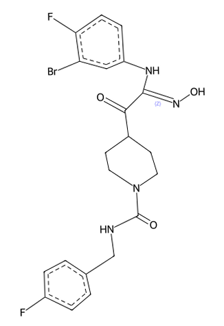 O=C(/C(=N/O)Nc1ccc(F)c(Br)c1)C1CCN(C(=O)NCc2ccc(F)cc2)CC1